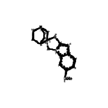 COc1ccc2nc3n(c2c1)C[C@]1(CN2CCC1CC2)O3